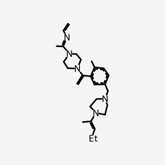 C=C/N=C(\C)N1CCN(C(=C)c2cc(CN3CCN(/C(C)=C/CC)CC3)ccc2C)CC1